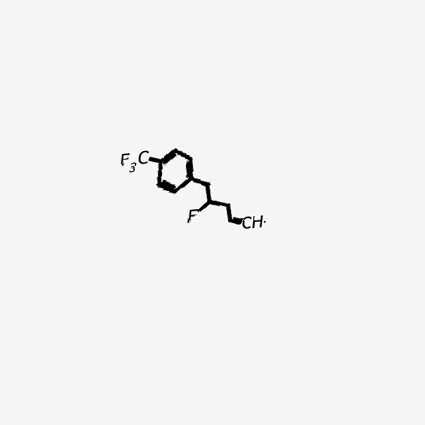 [CH]=CCC(F)Cc1ccc(C(F)(F)F)cc1